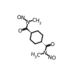 CN(N=O)C(=O)[C@H]1CC[C@H](C(=O)N(C)N=O)CC1